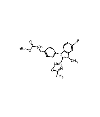 Cc1nc(-c2c(C)c3cc(F)ccc3n2-c2ccc(CNC(=O)OC(C)(C)C)cc2)no1